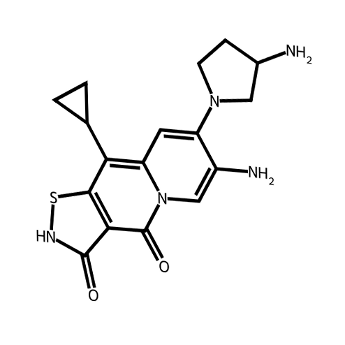 Nc1cn2c(=O)c3c(=O)[nH]sc3c(C3CC3)c2cc1N1CCC(N)C1